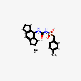 Cc1ccc(CS(=O)(=O)NC(=O)Nc2c3c(cc4c2CCC4)CCC3)cc1.[Na]